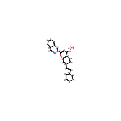 ON=c1cc(-c2cc3ccccc3cn2)oc2cc(/C=C/c3ccccc3)ccc12